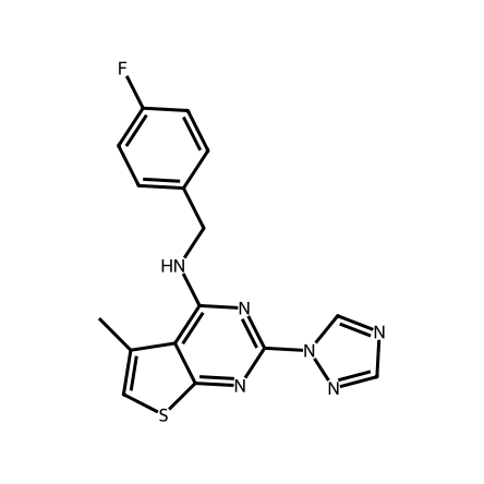 Cc1csc2nc(-n3cncn3)nc(NCc3ccc(F)cc3)c12